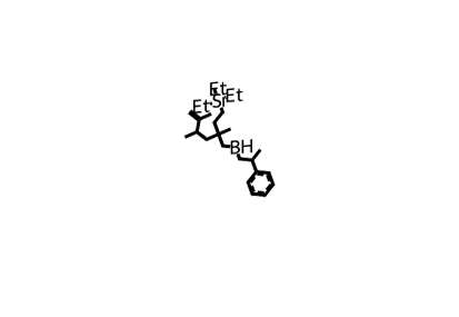 C=C(C)C(C)CC(C)(CBCC(C)c1ccccc1)CC[Si](CC)(CC)CC